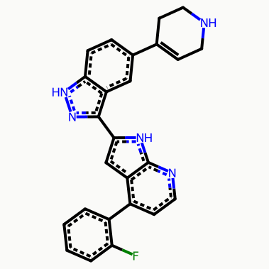 Fc1ccccc1-c1ccnc2[nH]c(-c3n[nH]c4ccc(C5=CCNCC5)cc34)cc12